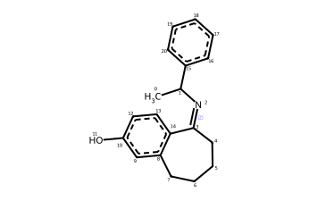 CC(/N=C1/CCCCc2cc(O)ccc21)c1ccccc1